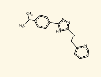 CC(C)c1ccc(-c2nnc(SCc3ccccn3)[nH]2)cc1